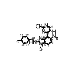 CNc1ccc2c(nc(NCc3ccc(C)cc3)n2C)c1-c1ccnc(Cl)n1